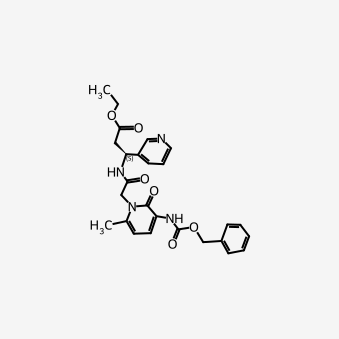 CCOC(=O)C[C@H](NC(=O)Cn1c(C)ccc(NC(=O)OCc2ccccc2)c1=O)c1cccnc1